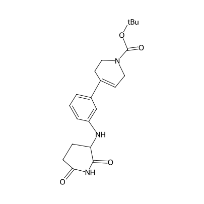 CC(C)(C)OC(=O)N1CC=C(c2cccc(NC3CCC(=O)NC3=O)c2)CC1